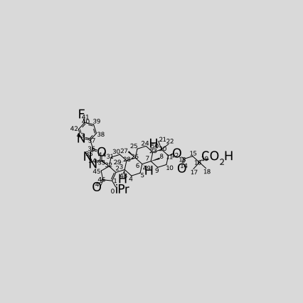 CC(C)C1=C2[C@H]3CC[C@@H]4[C@@]5(C)CC[C@H](OC(=O)CC(C)(C)C(=O)O)C(C)(C)[C@@H]5CC[C@@]4(C)[C@]3(C)CC[C@@]2(c2nnc(-c3ccc(F)cn3)o2)CC1=O